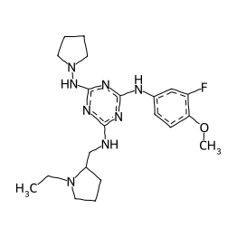 CCN1CCCC1CNc1nc(Nc2ccc(OC)c(F)c2)nc(NN2CCCC2)n1